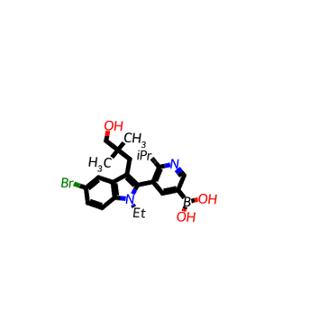 CCn1c(-c2cc(B(O)O)cnc2C(C)C)c(CC(C)(C)CO)c2cc(Br)ccc21